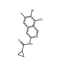 Cc1cc2cc(NC(=O)C3CC3)ncc2c(Cl)c1Br